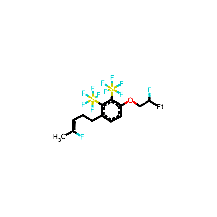 CCC(F)COc1ccc(CC/C=C(/C)F)c(S(F)(F)(F)(F)F)c1S(F)(F)(F)(F)F